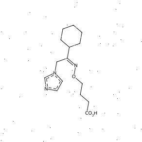 O=C(O)CCCON=C(Cn1ccnc1)C1CCCCC1